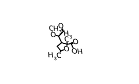 COC(C=O)C1CC(C)OC1(C)C(=O)O